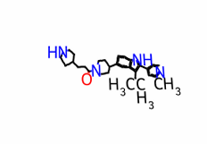 Cc1cc(-c2[nH]c3ccc(C4CCN(C(=O)CCC5CCNCC5)CC4)cc3c2C(C)C)ccn1